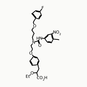 CCOC(Cc1ccc(OCCN(CCCOCc2ccc(F)cc2)C(=O)Nc2ccc(C)c([N+](=O)[O-])c2)cc1)C(=O)O